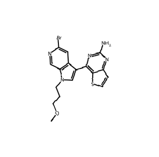 COCCCn1cc(-c2nc(N)nc3ccsc23)c2cc(Br)ncc21